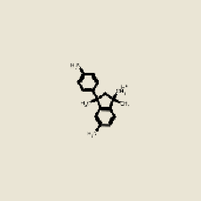 CC1(C)CC(C)(c2ccc(N)cc2)c2cc(N)ccc21.[H+]